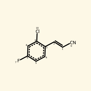 N#CC=Cc1ccc(F)cc1Cl